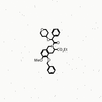 CCOC(=O)C1Cc2c(ccc(OC)c2OCc2ccccc2)CN1C(=O)C(OC1CCOCC1)c1ccccc1